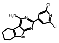 Nc1nc(-c2cc(Cl)nc(Cl)c2)nc2[se]c3c(c12)CCCC3